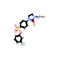 CCCCCN1CCN(c2ccc(S(=O)(=O)Oc3cccc(Cl)c3)cc2)C1=O